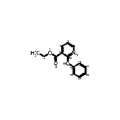 CCOC(=O)c1cccnc1Oc1ccccc1